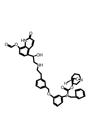 O=COc1ccc([C@@H](O)CNCCc2cccc(COc3cccc(N(Cc4ccccc4)C(=O)O[C@H]4CN5CCC4CC5)c3)c2)c2ccc(=O)[nH]c12